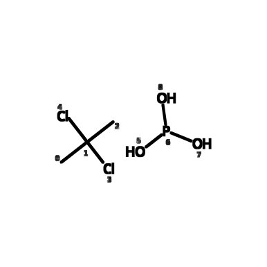 CC(C)(Cl)Cl.OP(O)O